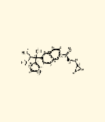 CC(C)C(O)(c1ccc2cc(C(=O)NCC3CC3)ccc2c1)c1c[nH]cn1